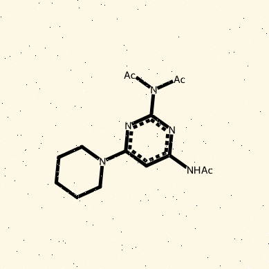 CC(=O)Nc1cc(N2CCCCC2)nc(N(C(C)=O)C(C)=O)n1